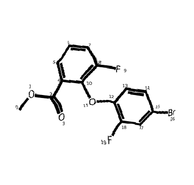 COC(=O)c1cccc(F)c1Oc1ccc(Br)cc1F